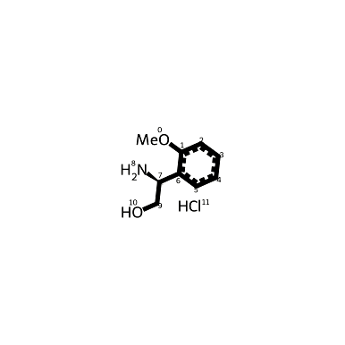 COc1ccccc1[C@H](N)CO.Cl